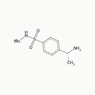 C[C@@H](N)c1ccc(S(=O)(=O)NC(C)(C)C)cc1